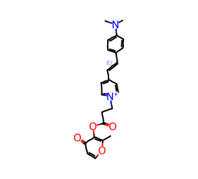 Cc1occc(=O)c1OC(=O)CC[n+]1ccc(/C=C/c2ccc(N(C)C)cc2)cc1